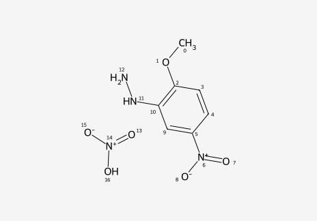 COc1ccc([N+](=O)[O-])cc1NN.O=[N+]([O-])O